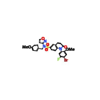 COc1ccc(CN(c2ccon2)S(=O)(=O)c2ccc3c(ccc(=O)n3-c3cc(F)c(Br)cc3OC)c2)cc1